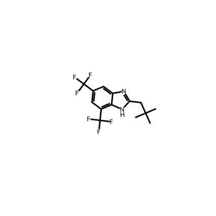 CC(C)(C)Cc1nc2cc(C(F)(F)F)cc(C(F)(F)F)c2[nH]1